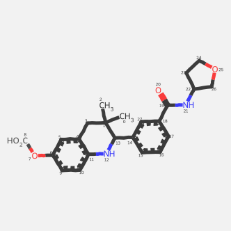 CC1(C)Cc2cc(OC(=O)O)ccc2NC1c1cccc(C(=O)NC2CCOC2)c1